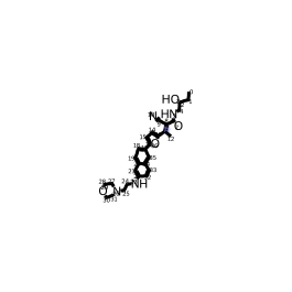 CCC(O)CNC(=O)/C(C#N)=C(\C)c1ccc(-c2ccc3cc(NCCN4CCOCC4)ccc3c2)o1